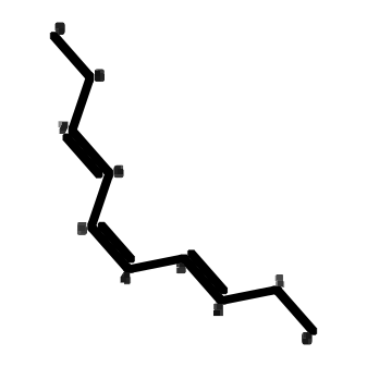 CC/C=C/C=C\C=C\CC